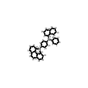 c1ccc(N(c2ccc(-n3c4cccc5ccc6cccc3c6c54)cc2)c2cccc3ccccc23)cc1